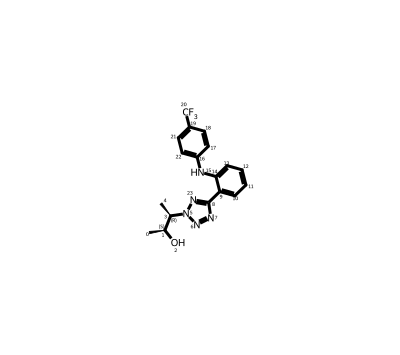 C[C@H](O)[C@@H](C)n1nnc(-c2ccccc2Nc2ccc(C(F)(F)F)cc2)n1